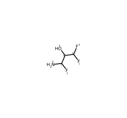 NC(F)C(O)C(F)F